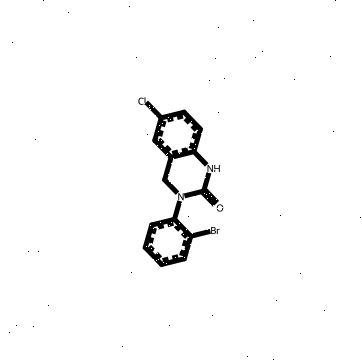 O=C1Nc2ccc(Cl)cc2CN1c1ccccc1Br